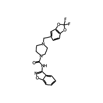 O=C(Nc1noc2ccccc12)N1CCN(Cc2ccc3c(c2)OC(F)(F)O3)CC1